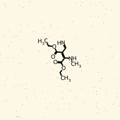 CCOC(=O)/C(C=N)=C(/NC)C(=O)OCC